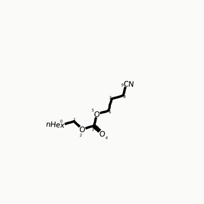 CCCCCCCOC(=O)OCCCC#N